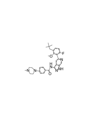 COc1c(CC(C)(C)C)ccc(F)c1-c1cc2c(NC(=O)c3ccc(N4CCN(C)CC4)cc3)n[nH]c2cn1